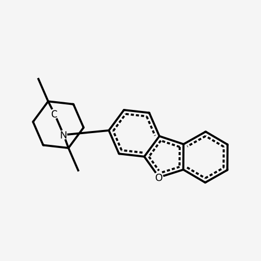 CC12CCC(C)(CC1)N(c1ccc3c(c1)oc1ccccc13)C2